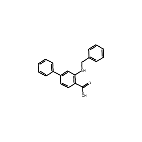 O=C(O)c1ccc(-c2ccccc2)cc1NCc1ccccc1